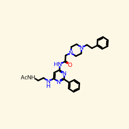 CC(=O)NCCNc1cc(NC(=O)CN2CCN(CCc3ccccc3)CC2)nc(-c2ccccc2)n1